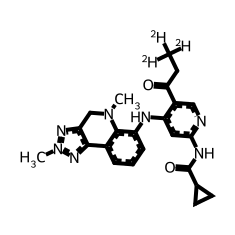 [2H]C([2H])([2H])CC(=O)c1cnc(NC(=O)C2CC2)cc1Nc1cccc2c1N(C)Cc1nn(C)nc1-2